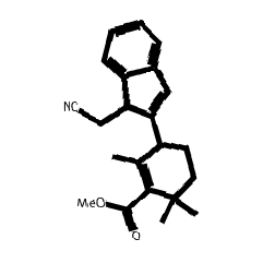 COC(=O)C1=C(C)C(C2=Cc3ccccc3C2CC#N)CCC1(C)C